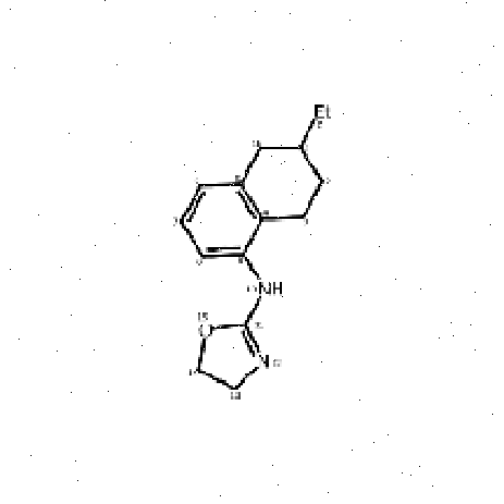 CCC1CCc2c(cccc2NC2=NCCO2)C1